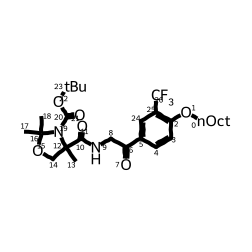 CCCCCCCCOc1ccc(C(=O)CNC(=O)C2(C)COC(C)(C)N2C(=O)OC(C)(C)C)cc1C(F)(F)F